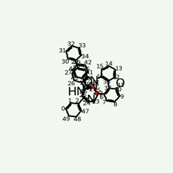 C1=CC(C2N=C(c3cccc4oc5cccc(-n6c7c(c8c6CCC=C8)CCC(c6ccccc6)=C7)c5c34)N=C(c3ccccc3)N2)=CCC1